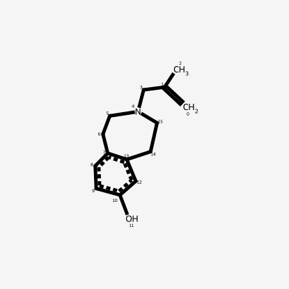 C=C(C)CN1CCc2ccc(O)cc2CC1